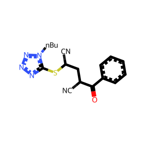 CCCCn1nnnc1SC(C#N)CC(C#N)C(=O)c1ccccc1